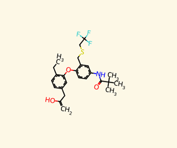 C=C(O)Cc1ccc(CC)c(Oc2ccc(NC(=O)C(C)(C)C)cc2CSCC(F)(F)F)c1